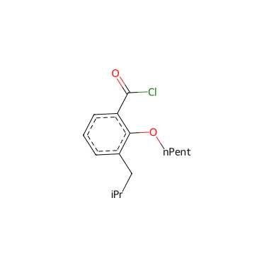 CCCCCOc1c(CC(C)C)cccc1C(=O)Cl